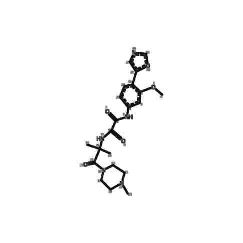 COc1cc(NC(=O)C(=O)NC(C)(C)C(=O)N2CCN(C)CC2)ccc1-c1cnco1